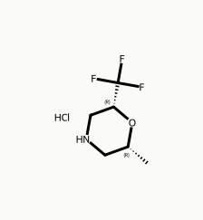 C[C@@H]1CNC[C@H](C(F)(F)F)O1.Cl